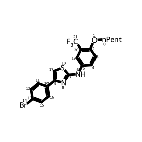 CCCCCOc1ccc(Nc2nc(-c3ccc(Br)cc3)cs2)cc1C(F)(F)F